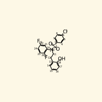 O=S(=O)(c1ccc(Cl)cc1)N(CCc1ccccc1O)c1cc(F)ccc1F